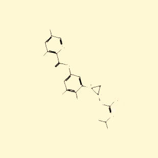 Cc1cc(Cl)cnc1C(=O)Nc1cc(C)c(F)c([C@H]2C[C@H]2O/C(N)=N\C(F)F)c1